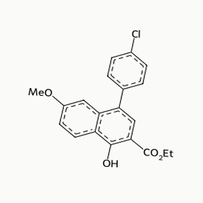 CCOC(=O)c1cc(-c2ccc(Cl)cc2)c2cc(OC)ccc2c1O